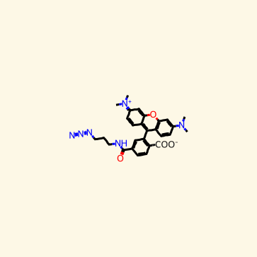 CN(C)c1ccc2c(-c3cc(C(=O)NCCCN=[N+]=[N-])ccc3C(=O)[O-])c3ccc(=[N+](C)C)cc-3oc2c1